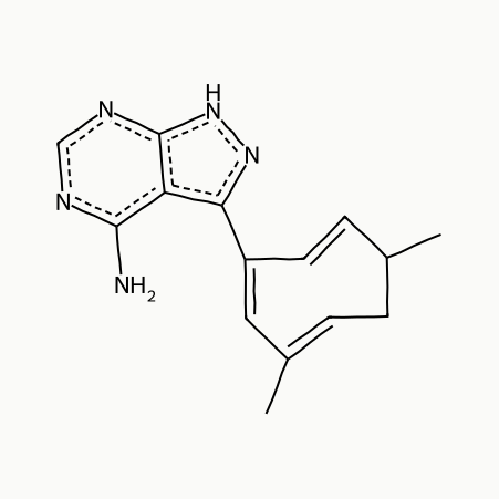 CC1=C\CC(C)/C=C/C(c2n[nH]c3ncnc(N)c23)=C\1